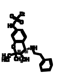 CCS(=O)(=O)Nc1ccc2c(c1)OC(C)(C)[C@H](O)[C@H]2NCCc1ccccc1.Cl